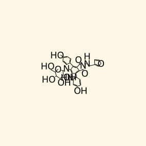 O=C1c2c(c3c4ccc(O)cc4n(C4OC(CO)C(O)C(O)C4O)c3c3[nH]c4cc(O)ccc4c23)C(=O)N1NCc1ccoc1